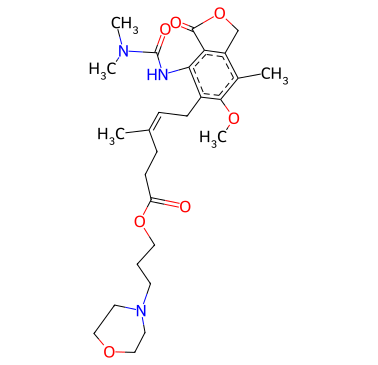 COc1c(C)c2c(c(NC(=O)N(C)C)c1CC=C(C)CCC(=O)OCCCN1CCOCC1)C(=O)OC2